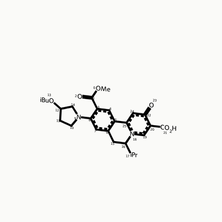 COC(=O)c1cc2c(cc1N1CCC(OCC(C)C)C1)CC(C(C)C)n1cc(C(=O)O)c(=O)cc1-2